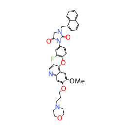 COc1cc2c(Oc3ccc(N4C(=O)CN(Cc5cccc6ccccc56)C4=O)cc3F)ccnc2cc1OCCCN1CCOCC1